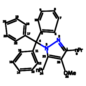 CCCc1nn(C(c2ccccc2)(c2ccccc2)c2ccccc2)c(CCC)c1OC